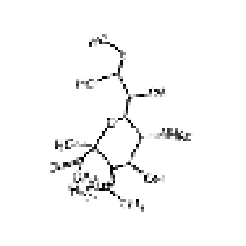 COC(=O)C1(O)O[C@@H](C(O)C(O)CO)[C@H](NC(C)=O)[C@@H](O)C1=C(C)C